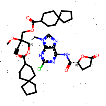 C#CC(COC(=O)C1CCC2(CCCC2)CC1)(OC)[C@H](Cn1cnc2c(NC(=O)[C@H]3CCC(=O)O3)nc(Cl)nc21)OC(=O)C1CCC2(CCCC2)CC1